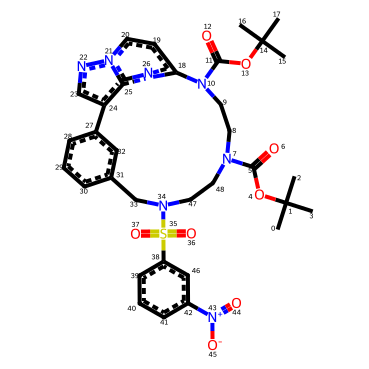 CC(C)(C)OC(=O)N1CCN(C(=O)OC(C)(C)C)c2ccn3ncc(c3n2)-c2cccc(c2)CN(S(=O)(=O)c2cccc([N+](=O)[O-])c2)CC1